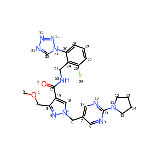 COCc1nn(Cc2cnc(N3CCCC3)nc2)cc1C(=O)NCc1c(F)cccc1-n1cnnn1